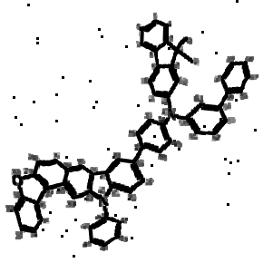 CC1(C)c2ccccc2-c2ccc(N(c3ccc(-c4ccc5c(c4)c4cc6ccc7oc8ccccc8c7c6cc4n5-c4ccccc4)cc3)c3cccc(-c4ccccc4)c3)cc21